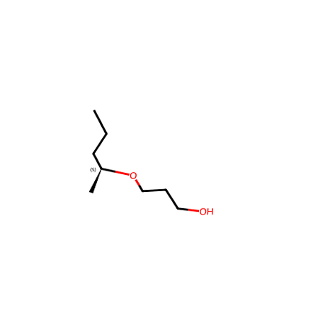 CCC[C@H](C)OCCCO